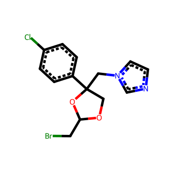 Clc1ccc(C2(Cn3ccnc3)COC(CBr)O2)cc1